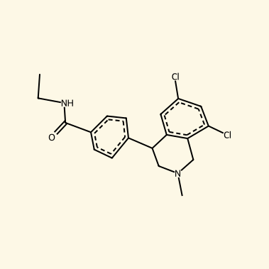 CCNC(=O)c1ccc(C2CN(C)Cc3c(Cl)cc(Cl)cc32)cc1